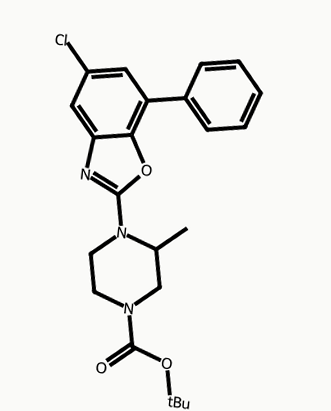 CC1CN(C(=O)OC(C)(C)C)CCN1c1nc2cc(Cl)cc(-c3ccccc3)c2o1